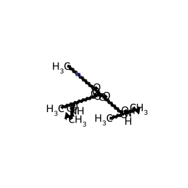 CCCCCC/C=C/CCCCCCCCCC(=O)OCC(COC(=O)CCCCCCCCCCC(CCCCCC)OC(=O)NCCC(C)N1CC1)OC(=O)CCCCCCCCCCC(CCCCCC)OC(=O)NCCC(C)N1CC1